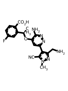 C[C@@H](Oc1cc(-c2c(CN)nn(C)c2C#N)nnc1N)c1cc(F)ccc1C(=O)O